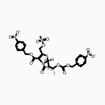 C[C@@H](OC(=O)OCc1ccc([N+](=O)[O-])cc1)[C@H]1C(=O)N2C(C(=O)OCc3ccc([N+](=O)[O-])cc3)=C(COS(C)(=O)=O)S[C@H]12